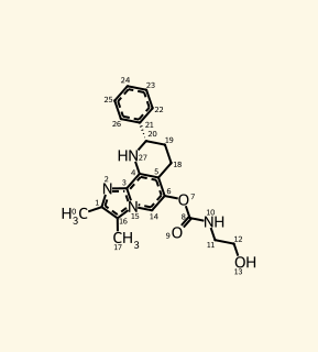 Cc1nc2c3c(c(OC(=O)NCCO)cn2c1C)CC[C@@H](c1ccccc1)N3